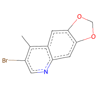 Cc1c(Br)cnc2cc3c(cc12)OCO3